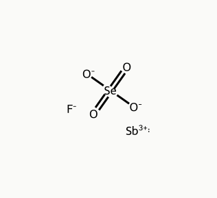 O=[Se](=O)([O-])[O-].[F-].[Sb+3]